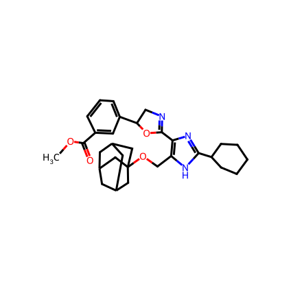 COC(=O)c1cccc(C2CN=C(c3nc(C4CCCCC4)[nH]c3COC34CC5CC(CC(C5)C3)C4)O2)c1